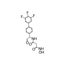 O=CC(NC(=O)CC(=O)NO)c1ccc(-c2cc(F)c(F)c(F)c2)cc1